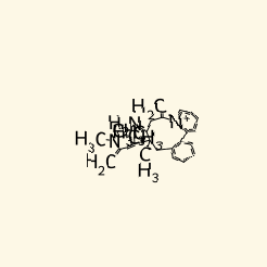 C=C(/C=C(\C)C1(C)Cc2ccccc2-c2cccc[n+]2C(=C)CC1(C)N)N(C)C